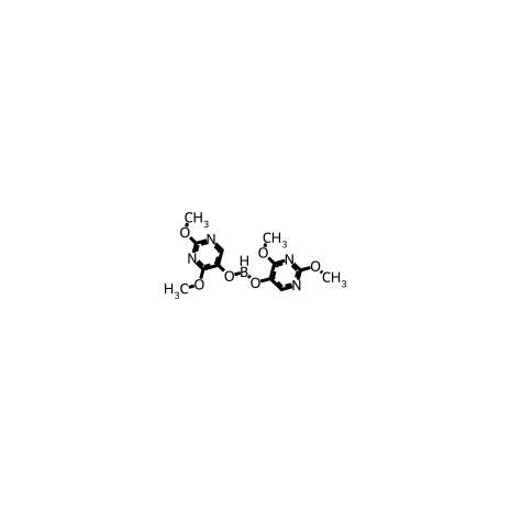 COc1ncc(OBOc2cnc(OC)nc2OC)c(OC)n1